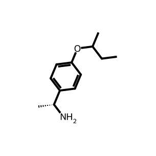 CCC(C)Oc1ccc([C@@H](C)N)cc1